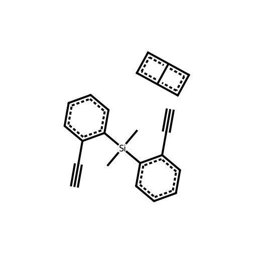 C#Cc1ccccc1[Si](C)(C)c1ccccc1C#C.c1cc2ccc1-2